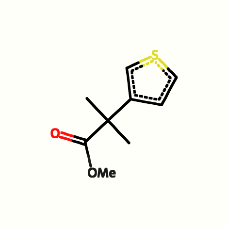 COC(=O)C(C)(C)c1ccsc1